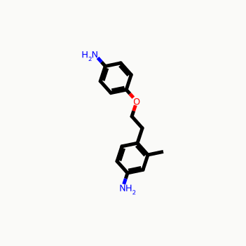 Cc1cc(N)ccc1CCOc1ccc(N)cc1